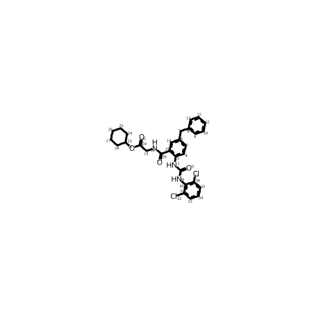 O=C(Nc1ccc(Cc2ccccc2)cc1C(=O)NCC(=O)OC1CCCCC1)Nc1c(Cl)cccc1Cl